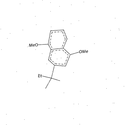 CCC(C)(C)c1cc(OC)c2cccc(OC)c2c1